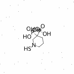 O=P(O)(O)C1(P(=O)(O)O)CCCN(S)C1